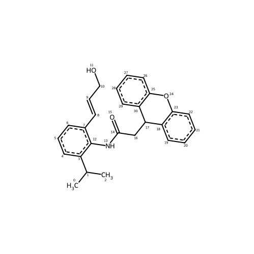 CC(C)c1cccc(C=CCO)c1NC(=O)CC1c2ccccc2Oc2ccccc21